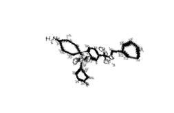 C[C@@H]1C[C@](c2ccc(C(OCc3ccccc3)(C(F)(F)F)C(F)(F)F)cc2)(S(=O)(=O)c2ccc(F)cc2)CCC1N